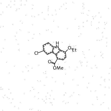 CCOc1ccc(C(=O)OC)c2c1[nH]c1ccc(Cl)cc12